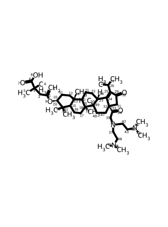 C=C(CC(C)(C)C(=O)O)O[C@H]1CC[C@@]2(C)C(CC[C@]3(C)C2CC[C@@H]2C4=C(C(C)C)C(=O)C[C@]4(C(=O)CN(CCN(C)C)CCN(C)C)CC[C@]23C)C1(C)C